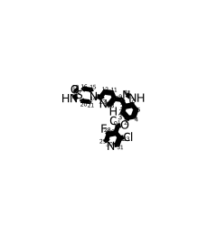 CC(Oc1ccc2[nH]nc(-c3ccc(N4CCS(=N)(=O)CC4)nc3)c2c1)c1c(F)cncc1Cl